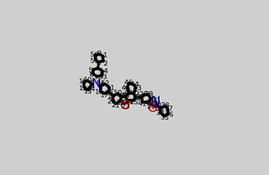 c1ccc(-c2ccc(N(c3ccccc3)c3ccc(-c4ccc5oc6cc(-c7ccc8nc(-c9ccccc9)oc8c7)c7ccccc7c6c5c4)cc3)cc2)cc1